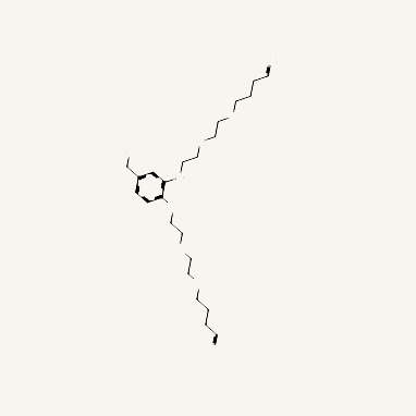 C=CCCCOCCOCCOc1ccc(CCl)cc1OCCOCCOCCCC=C